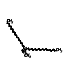 CCCCCCCCCCCCCCCCCCC[n+]1ccn(CC)c1CCCCCCCCCCCCCCCCC